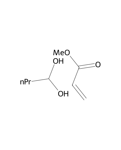 C=CC(=O)OC.CCCC(O)O